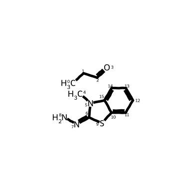 CCC=O.Cn1c(=NN)sc2ccccc21